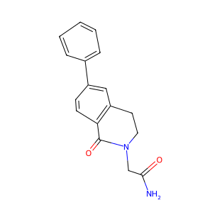 NC(=O)CN1CCc2cc(-c3ccccc3)ccc2C1=O